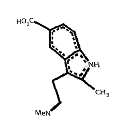 CNCCc1c(C)[nH]c2ccc(C(=O)O)cc12